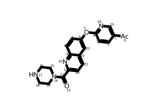 CC(=O)c1ccc(Oc2ccc3nc(C(=O)N4CCNCC4)ccc3c2)nc1